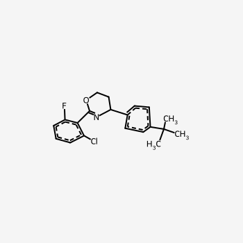 CC(C)(C)c1ccc(C2CCOC(c3c(F)cccc3Cl)=N2)cc1